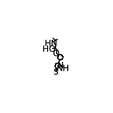 CC(C)NCC(O)COc1cccc(-c2ccc(=S)[nH]n2)c1